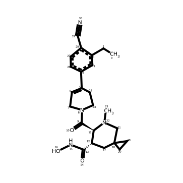 CCc1cc(C2=CCN(C(=O)[C@@H]3[C@@H](C(=O)NO)CC4(CC4)CN3C)CC2)ccc1C#N